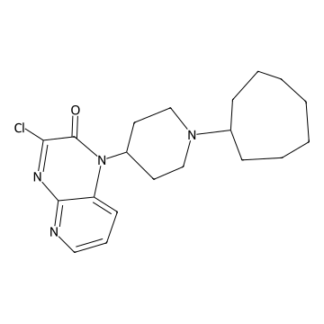 O=c1c(Cl)nc2ncccc2n1C1CCN(C2CCCCCCC2)CC1